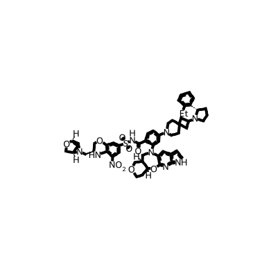 CCc1ccccc1[C@@H]1CCCN1C1CC2(CCN(c3ccc(C(=O)NS(=O)(=O)c4cc5c(c([N+](=O)[O-])c4)N[C@@H](CN4C[C@H]6C[C@@H]4CO6)CO5)c(N4C[C@@H]5COCC[C@H]5Oc5nc6[nH]ccc6cc54)c3)CC2)C1